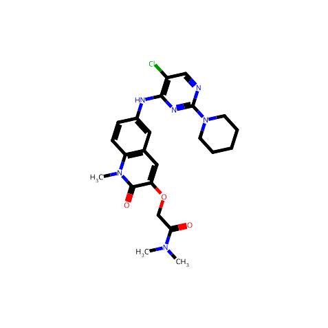 CN(C)C(=O)COc1cc2cc(Nc3nc(N4CCCCC4)ncc3Cl)ccc2n(C)c1=O